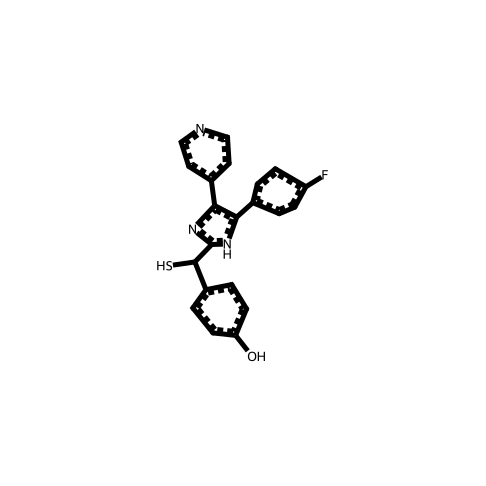 Oc1ccc(C(S)c2nc(-c3ccncc3)c(-c3ccc(F)cc3)[nH]2)cc1